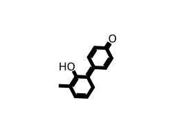 CC1=C(O)C(=C2C=CC(=O)C=C2)CC=C1